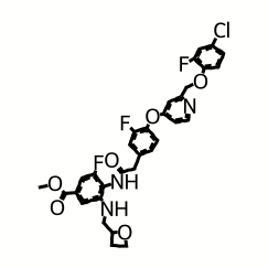 COC(=O)c1cc(F)c(NC(=O)Cc2ccc(Oc3ccnc(COc4ccc(Cl)cc4F)c3)c(F)c2)c(NCC2CCO2)c1